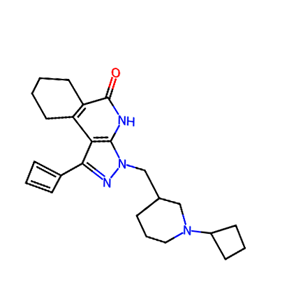 O=c1[nH]c2c(c(C3=CC=C3)nn2CC2CCCN(C3CCC3)C2)c2c1CCCC2